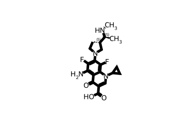 CN[C@@H](C)[C@H]1CCN(c2c(F)c(N)c3c(=O)c(C(=O)O)cn(C4CC4)c3c2F)C1